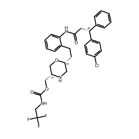 O=C(C[C@H](c1ccccc1)c1ccc(Cl)cc1)Nc1ccccc1CC[C@@H]1CN[C@H](COC(=O)NCC(F)(F)F)CO1